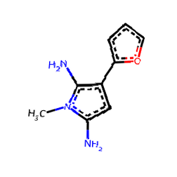 Cn1c(N)cc(-c2ccco2)c1N